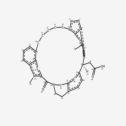 Cc1c2cnc3c1nnn3CCCCCc1cccc3c1cc(n3C)C(=O)N1CCc3ccc(cc3C1)[C@@H]2CC(=O)O